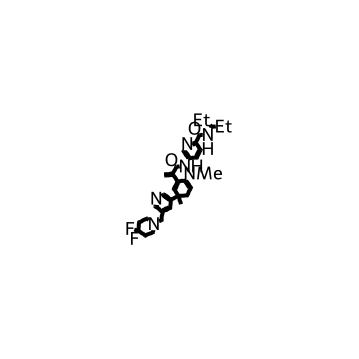 C=C(C(=O)Nc1ccc(C(=O)NC(CC)CC)nc1)C1=CC(C)(c2cncc(CN3CCC(F)(F)CC3)c2)CC=C1NC